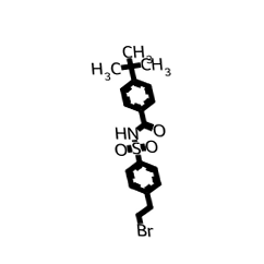 CC(C)(C)c1ccc(C(=O)NS(=O)(=O)c2ccc(CCBr)cc2)cc1